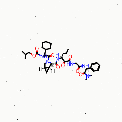 CCC[C@H](NC(=O)[C@@H]1[C@H]2C[C@H]2CN1C(=O)[C@@H](NC(=O)OCC(C)C)C1CCCCC1)C(=O)C(=O)NCC(=O)N[C@H](C(=O)N(C)C)c1ccccc1